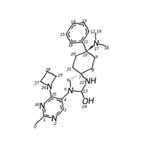 Cc1ncc(N2C[C@]3(CC[C@](c4ccccc4)(N(C)C)CC3)NC2O)c(N2CCC2)n1